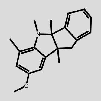 COc1cc(C)c2c(c1)C1(C)Cc3ccccc3C1(C)N2C